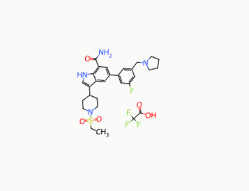 CCS(=O)(=O)N1CCC(c2c[nH]c3c(C(N)=O)cc(-c4cc(F)cc(CN5CCCC5)c4)cc23)CC1.O=C(O)C(F)(F)F